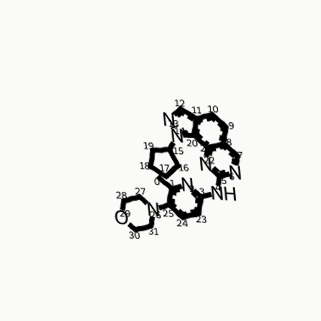 Cc1nc(Nc2ncc3ccc4cnn(C5CCCC5)c4c3n2)ccc1N1CCOCC1